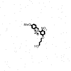 COc1ccc(CN(c2cc(OCCCCO)ccc2[N+](=O)[O-])S(C)(=O)=O)cc1